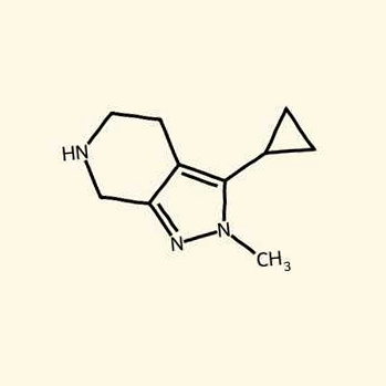 Cn1nc2c(c1C1CC1)CCNC2